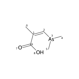 CC(=C[As](C)C)C(=O)O